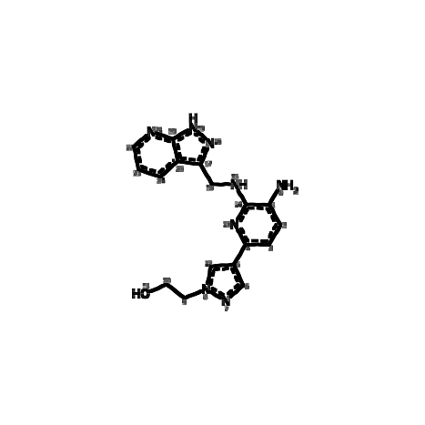 Nc1ccc(-c2cnn(CCO)c2)nc1NCc1n[nH]c2ncccc12